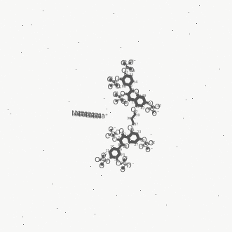 O=c1c(OS(=O)(=O)[O-])c(-c2ccc(OS(=O)(=O)[O-])c(OS(=O)(=O)[O-])c2)oc2cc(OS(=O)(=O)[O-])cc(OCCCOc3cc(OS(=O)(=O)[O-])cc4oc(-c5ccc(OS(=O)(=O)[O-])c(OS(=O)(=O)[O-])c5)c(OS(=O)(=O)[O-])c(=O)c34)c12.[Na+].[Na+].[Na+].[Na+].[Na+].[Na+].[Na+].[Na+]